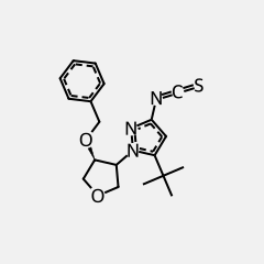 CC(C)(C)c1cc(N=C=S)nn1C1COC[C@H]1OCc1ccccc1